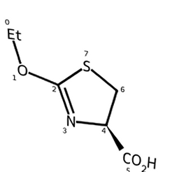 CCOC1=N[C@H](C(=O)O)CS1